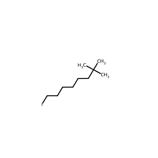 CC(C)(C)CCCCCCI